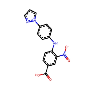 O=C(O)c1ccc(Nc2ccc(-n3cccn3)cc2)c([N+](=O)[O-])c1